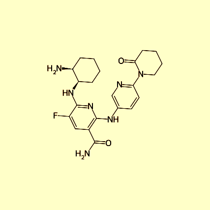 NC(=O)c1cc(F)c(N[C@@H]2CCCC[C@@H]2N)nc1Nc1ccc(N2CCCCC2=O)nc1